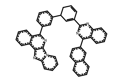 C1=CC(c2nc(-c3ccc4ccccc4c3)c3ccccc3n2)=CC(c2cccc(-c3nc4c(nc5ccccn54)c4ccccc34)c2)C1